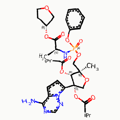 CC(C)C(=O)O[C@@H]1[C@@](C)(CO[P@](=O)(N[C@@H](C)C(=O)O[C@@H]2CCOC2)Oc2ccccc2)OC[C@@]1(OC(=O)C(C)C)c1ccc2c(N)ncnn12